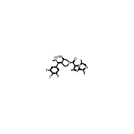 CN/C(=C1/CCN(C(=O)c2c(C)nc3c(C)ncc(C)n23)CC1=N)c1cc(F)c(F)c(F)c1